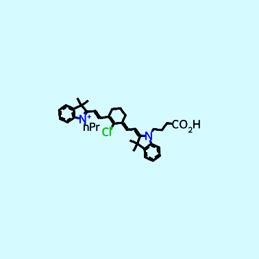 CCC[N+]1=C(/C=C/C2=C(Cl)C(=C/C=C3/N(CCCC(=O)O)c4ccccc4C3(C)C)/CCC2)C(C)(C)c2ccccc21